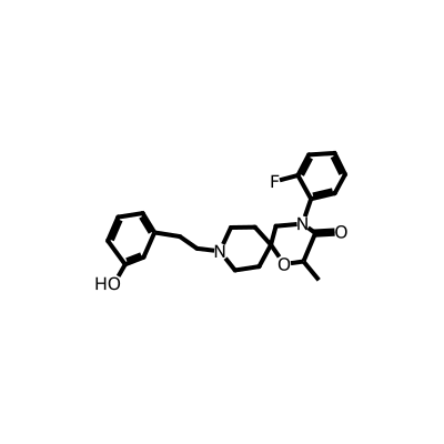 CC1OC2(CCN(CCc3cccc(O)c3)CC2)CN(c2ccccc2F)C1=O